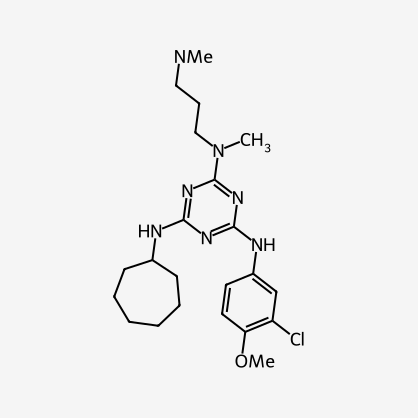 CNCCCN(C)c1nc(Nc2ccc(OC)c(Cl)c2)nc(NC2CCCCCC2)n1